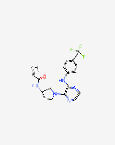 C=CC(=O)NC1CCN(c2nccnc2Nc2ccc(C(F)(F)F)cc2)C1